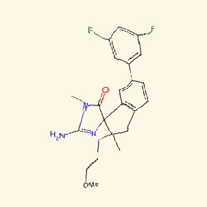 COCCCC1(C)Cc2ccc(-c3cc(F)cc(F)c3)cc2C12N=C(N)N(C)C2=O